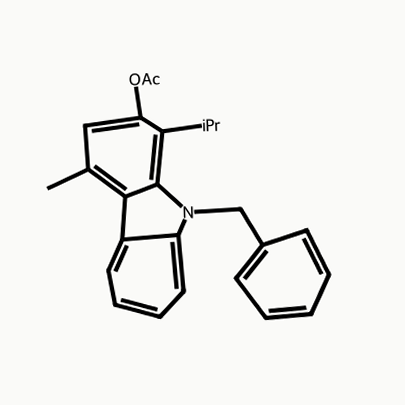 CC(=O)Oc1cc(C)c2c3ccccc3n(Cc3ccccc3)c2c1C(C)C